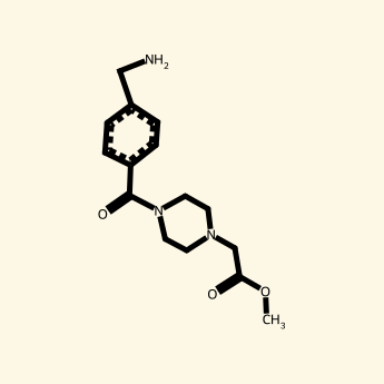 COC(=O)CN1CCN(C(=O)c2ccc(CN)cc2)CC1